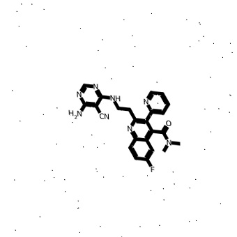 CN(C)C(=O)c1c(-c2ccccn2)c(CCNc2ncnc(N)c2C#N)nc2ccc(F)cc12